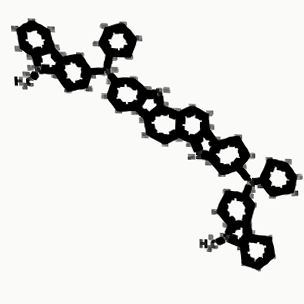 Cn1c2ccccc2c2cc(N(c3ccccc3)c3ccc4c(c3)sc3c4ccc4c3ccc3c5ccc(N(c6ccccc6)c6ccc7c(c6)c6ccccc6n7C)cc5sc34)ccc21